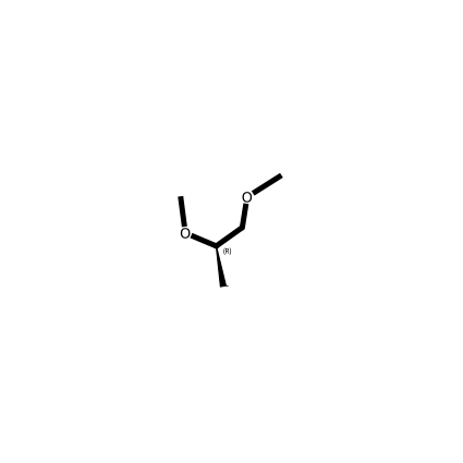 [CH2][C@H](COC)OC